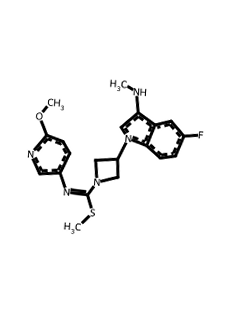 CNc1cn(C2CN(/C(=N\c3ccc(OC)nc3)SC)C2)c2ccc(F)cc12